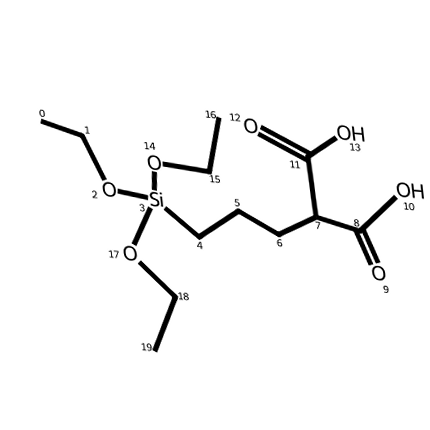 CCO[Si](CCCC(C(=O)O)C(=O)O)(OCC)OCC